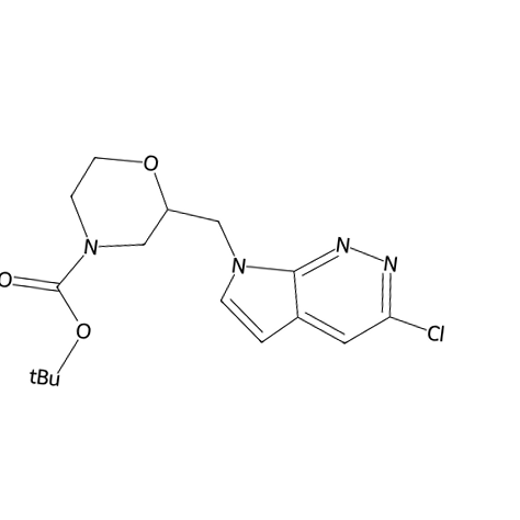 CC(C)(C)OC(=O)N1CCOC(Cn2ccc3cc(Cl)nnc32)C1